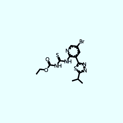 CCOC(=O)NC(=S)Nc1ncc(Br)cc1-c1nnc(C(C)C)s1